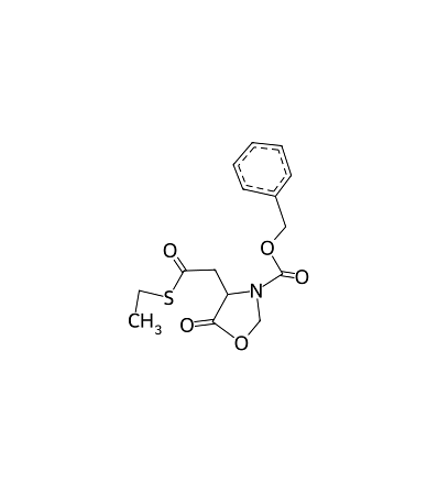 CCSC(=O)CC1C(=O)OCN1C(=O)OCc1ccccc1